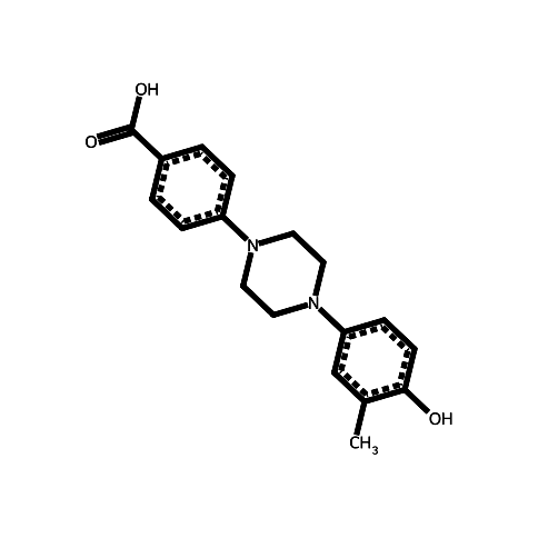 Cc1cc(N2CCN(c3ccc(C(=O)O)cc3)CC2)ccc1O